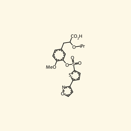 COc1ccc(CC(OC(C)C)C(=O)O)cc1OS(=O)(=O)c1ccc(-c2ccon2)s1